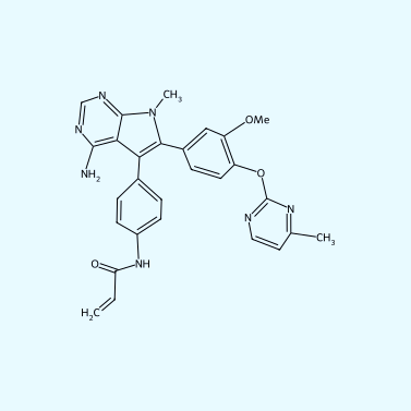 C=CC(=O)Nc1ccc(-c2c(-c3ccc(Oc4nccc(C)n4)c(OC)c3)n(C)c3ncnc(N)c23)cc1